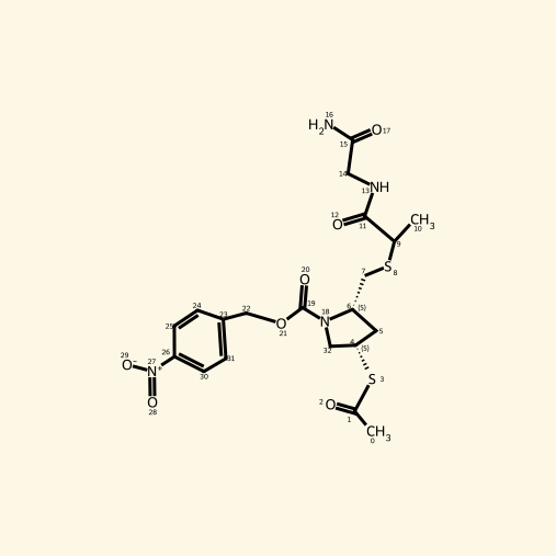 CC(=O)S[C@H]1C[C@@H](CSC(C)C(=O)NCC(N)=O)N(C(=O)OCc2ccc([N+](=O)[O-])cc2)C1